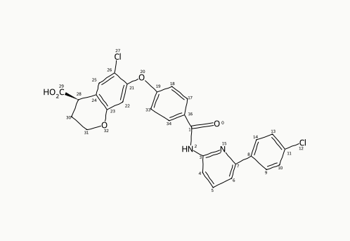 O=C(Nc1cccc(-c2ccc(Cl)cc2)n1)c1ccc(Oc2cc3c(cc2Cl)[C@H](C(=O)O)CCO3)cc1